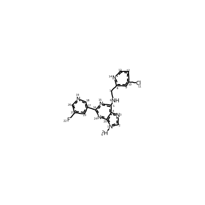 [2H]n1cnc2c(NCc3cc(Cl)ccn3)nc(-c3cncc(F)c3)nc21